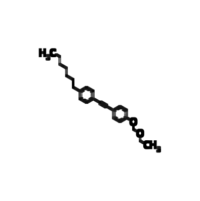 CCCCCCCc1ccc(C#Cc2ccc(OCOCC)cc2)cc1